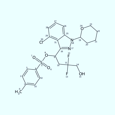 Cc1ccc(S(=O)(=O)OC(CC(F)(F)CO)c2nn(C3CCCCO3)c3cccc(Cl)c23)cc1